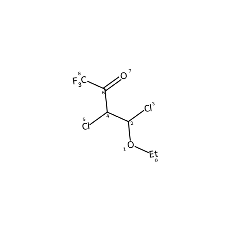 CCOC(Cl)C(Cl)C(=O)C(F)(F)F